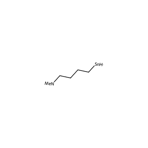 CNCCC[CH2][SnH]